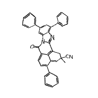 CC1(C#N)C=c2c(-c3ccccc3)ccc3c(=O)n4c(nc5c(-c6ccccc6)cc(-c6ccccc6)cc54)c(c23)C1